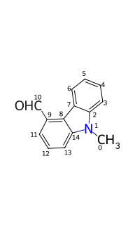 Cn1c2ccccc2c2c(C=O)cccc21